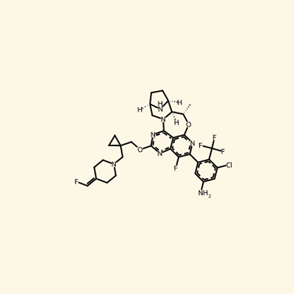 C[C@@H]1Oc2nc(-c3cc(N)cc(Cl)c3C(F)(F)F)c(F)c3nc(OCC4(CN5CCC(=CF)CC5)CC4)nc(c23)N2C[C@H]3CC[C@H](N3)[C@@H]12